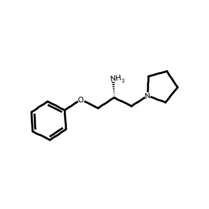 N[C@@H](COc1ccccc1)CN1CCCC1